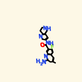 CC1=Cc2cc(F)c(C(=O)Nc3cnc4c(c3)CNCC4)cc2N=C(N)C1